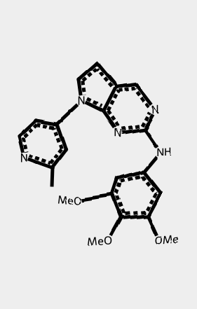 COc1cc(Nc2ncc3ccn(-c4ccnc(C)c4)c3n2)cc(OC)c1OC